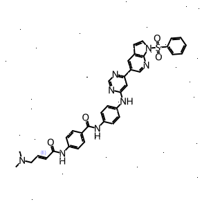 CN(C)C/C=C/C(=O)Nc1ccc(C(=O)Nc2ccc(Nc3cc(-c4cnc5c(ccn5S(=O)(=O)c5ccccc5)c4)ncn3)cc2)cc1